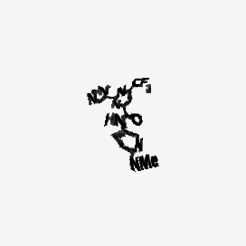 CNc1ccc(NC(=O)c2cc(C(F)(F)F)nc(-c3cncn3C)n2)cn1